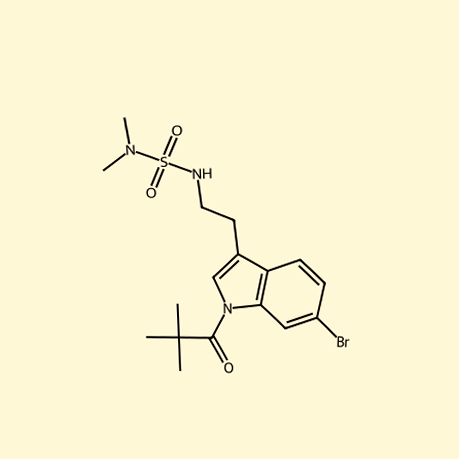 CN(C)S(=O)(=O)NCCc1cn(C(=O)C(C)(C)C)c2cc(Br)ccc12